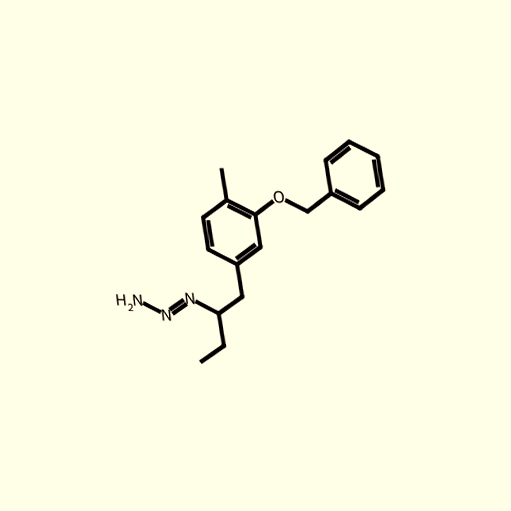 CCC(Cc1ccc(C)c(OCc2ccccc2)c1)N=NN